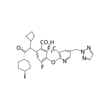 C[C@H]1CC[C@H](C(=O)C(c2cc(F)c(Oc3ncc(Cn4nccn4)cc3C(F)(F)F)cc2C(=O)O)C2CCC2)CC1